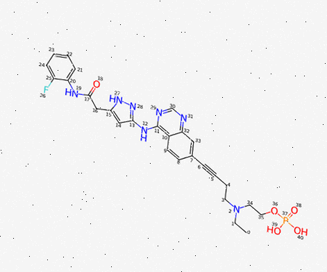 CCN(CCC#Cc1ccc2c(Nc3cc(CC(=O)Nc4ccccc4F)[nH]n3)ncnc2c1)CCOP(=O)(O)O